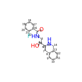 O=C(NC[C@@H](O)[C@@H]1Cc2ccccc2CN1)c1ccccc1F